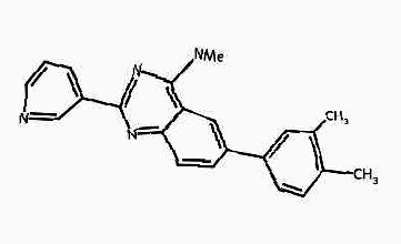 CNc1nc(-c2cccnc2)nc2ccc(-c3ccc(C)c(C)c3)cc12